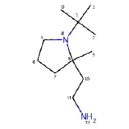 CC(C)(C)N1CCCC1(C)CCN